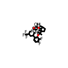 CC(C)(C)C12CCC(CN(C(=O)O)C1)C2Nc1nc2n(n1)CC(C(F)(F)F)CC2c1ccc(F)c(F)c1F